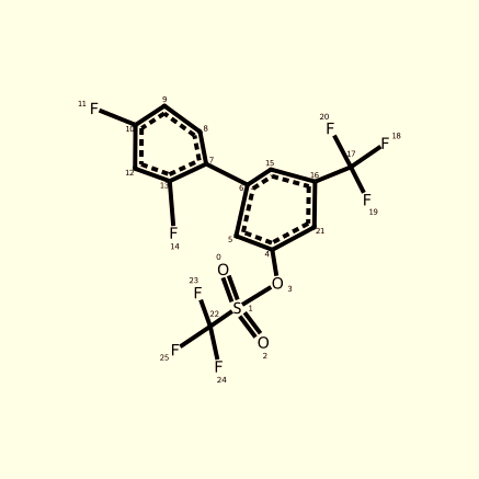 O=S(=O)(Oc1cc(-c2ccc(F)cc2F)cc(C(F)(F)F)c1)C(F)(F)F